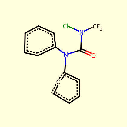 O=C(N(c1ccccc1)c1ccccc1)N(Cl)C(F)(F)F